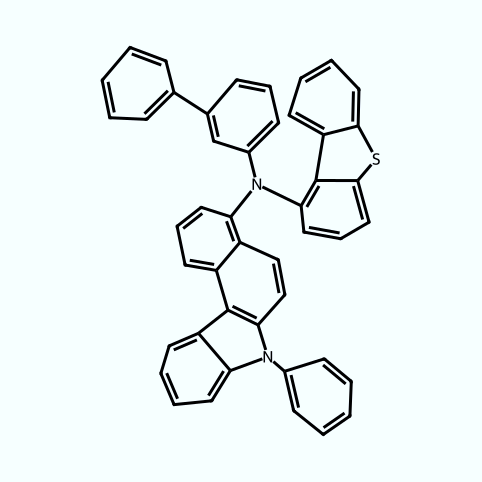 c1ccc(-c2cccc(N(c3cccc4c3ccc3c4c4ccccc4n3-c3ccccc3)c3cccc4sc5ccccc5c34)c2)cc1